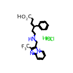 Cl.Cl.O=C(O)CCC(CCNCc1c(C(F)(F)F)nc2ccccn12)c1ccccc1